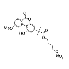 COc1ccc2c(=O)oc3cc(C(C)(C)C(=O)OCCCCO[N+](=O)[O-])cc(O)c3c2c1